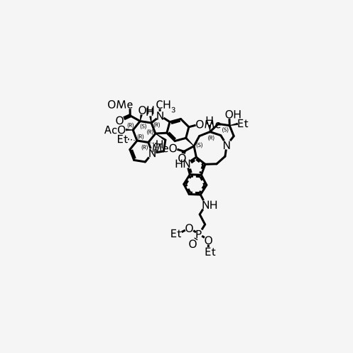 CCOP(=O)(CCNc1ccc2[nH]c3c(c2c1)CCN1C[C@@H](C[C@@](O)(CC)C1)C[C@]3(C(=O)OC)C1C=C2C(=CC1OC)N(C)[C@H]1[C@@](O)(C(=O)OC)[C@H](OC(C)=O)[C@]3(CC)C=CCN4CC[C@]21[C@@H]43)OCC